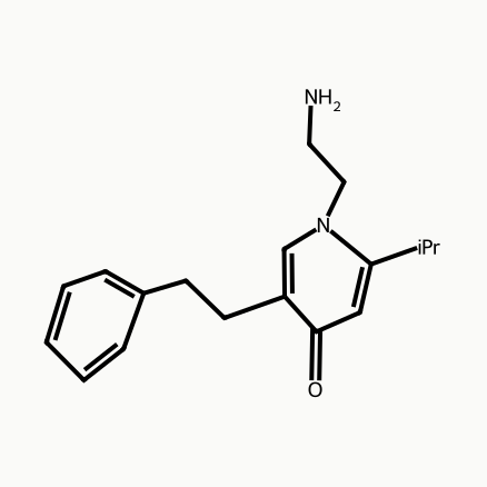 CC(C)c1cc(=O)c(CCc2ccccc2)cn1CCN